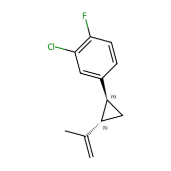 C=C(C)[C@H]1C[C@@H]1c1ccc(F)c(Cl)c1